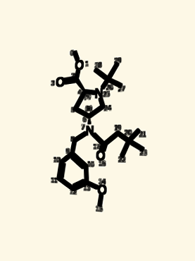 COC(=O)[C@@H]1C[C@@H](N(Cc2cccc(OC)c2)C(=O)CC(C)(C)C)CN1C(C)(C)C